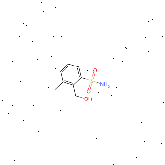 Cc1cccc(S(N)(=O)=O)c1CO